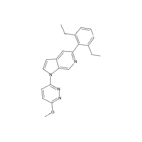 CCc1cccc(CC)c1-c1cc2ccn(-c3ccc(OC)nn3)c2cn1